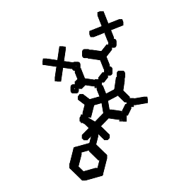 CC(=NOc1ccccc1)C1(N(OC(=O)OC(C)(C)C)C(=O)OC(C)(C)C)C(=O)N(C)N=C1C(C)(C)C